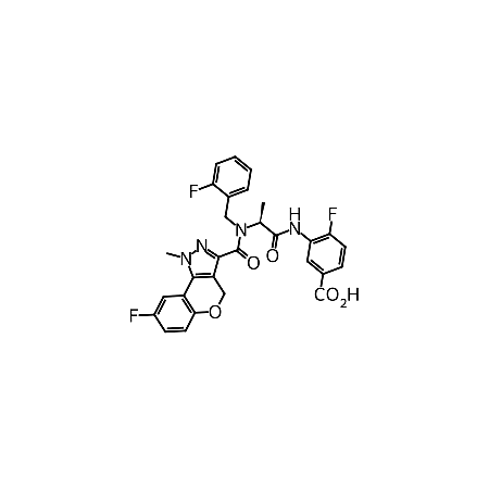 C[C@@H](C(=O)Nc1cc(C(=O)O)ccc1F)N(Cc1ccccc1F)C(=O)c1nn(C)c2c1COc1ccc(F)cc1-2